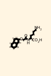 NCCCC[C@H](NC(=O)COc1ccc2ccccc2c1)C(=O)O